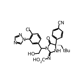 CC(C)(C)C[C@]1(c2ccc(C#N)cc2)NC(=NC(=O)O)N(C(CO)c2ccc(Cl)c(-n3cncn3)c2)C1=O